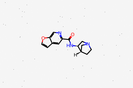 O=C(N[C@H]1CN2CC[C@H]1C2)c1cc2ccoc2cn1